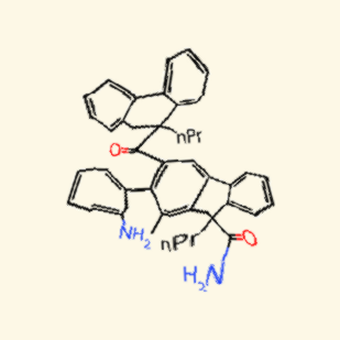 CCCC1(C(=O)c2cc3c(c(C)c2-c2ccccc2N)C(CCC)(C(N)=O)c2ccccc2-3)c2ccccc2-c2ccccc21